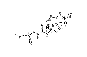 CCOC(=O)CNC(=O)N[C@@H]1CO[C@@H]2C(O[N+](=O)[O-])CO[C@@H]21